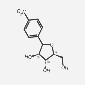 O=[N+]([O-])c1ccc([C]2O[C@@H](CO)[C@H](O)[C@H]2O)cc1